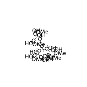 COc1cc(C(c2ccc(O)c(OC)c2)c2cc(C(C)(C)c3ccc(C(C)(c4cc(C)c(O)c(C(c5ccc(O)c(OC)c5)c5ccc(O)c(OC)c5)c4)c4cc(C)c(O)c(C(c5ccc(O)c(OC)c5)c5ccc(O)c(OC)c5)c4)cc3)cc(C)c2O)ccc1O